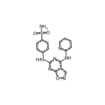 NS(=O)(=O)c1ccc([AsH]c2nc(Nc3ccccn3)c3cnoc3n2)cc1